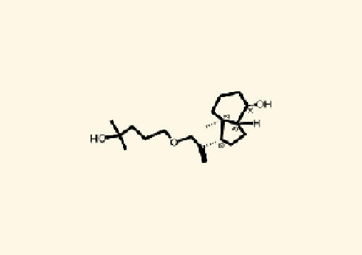 C=C(COCCCC(C)(C)O)[C@H]1CC[C@H]2[C@@H](O)CCC[C@]12C